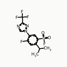 CC(C)c1cc(F)c(-n2cnc(C(F)(F)F)n2)cc1S(=O)(=O)F